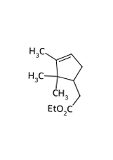 CCOC(=O)CC1CC=C(C)C1(C)C